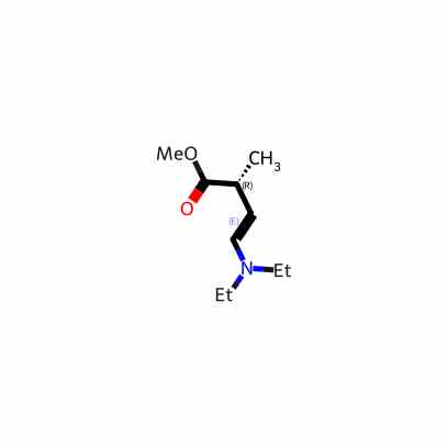 CCN(/C=C/[C@@H](C)C(=O)OC)CC